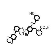 N#Cc1cccc(COc2cc(OCc3cccc(-c4ccc5c(c4)OCCO5)c3C#N)c(Br)cc2CN2CCCCC2C(=O)O)c1